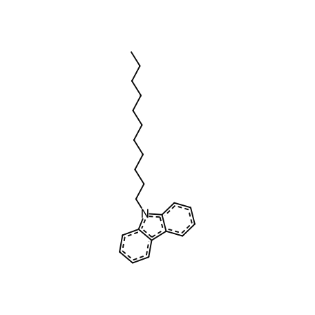 CCCCCCCCCCCn1c2ccccc2c2ccccc21